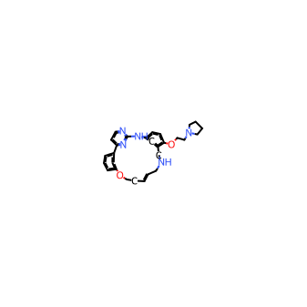 C1=C/CNCc2cc(ccc2OCCN2CCCC2)Nc2nccc(n2)-c2cccc(c2)OCC/1